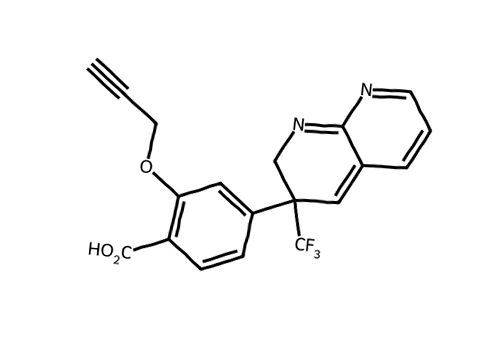 C#CCOc1cc(C2(C(F)(F)F)C=c3cccnc3=NC2)ccc1C(=O)O